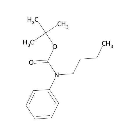 CCCCN(C(=O)OC(C)(C)C)c1ccccc1